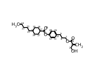 C=C(CO)C(=O)OCCCc1ccc(OC(=O)C2CCC(CCCCC)CC2)cc1